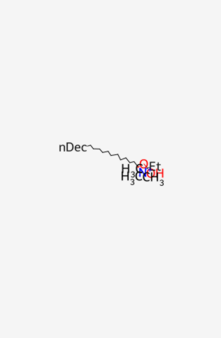 CCCCCCCCCCCCCCCCCCCCCCOC(O)(CC)[N+](C)(C)C